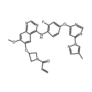 C=CC(=O)N1CC(Oc2cc3c(Nc4ccc(Oc5cc(-n6cc(C)cn6)ncn5)cc4F)ncnc3cc2OC)C1